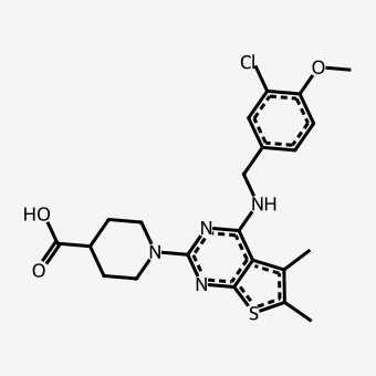 COc1ccc(CNc2nc(N3CCC(C(=O)O)CC3)nc3sc(C)c(C)c23)cc1Cl